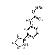 CC(C)(C)OC(=O)Nc1cccc([C@H]2NCCS2)c1